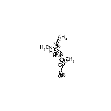 CCN[C@H]1CN(CCCOC)S(=O)(=O)c2sc(S(=O)(=O)NC(=O)c3ccc(OC(=O)CCCO[N+](=O)[O-])c(OC)c3)cc21